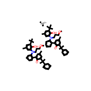 COCCCN(c1ccccc1-c1cc(C)cc(C(C)(C)c2ccccc2)c1[O-])c1cc(C)cc(C(C)(C)C)c1O.COCCCN(c1ccccc1-c1cc(C)cc(C(C)(C)c2ccccc2)c1[O-])c1cc(C)cc(C(C)(C)C)c1O.[CH3][Hf+2][CH3]